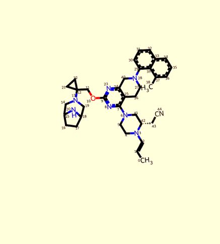 CC=CN1CCN(c2nc(OCC3(N4CC5CCC(C4)N5)CC3)nc3c2CCN(c2cccc4cccc(C)c24)C3)C[C@@H]1CC#N